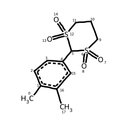 Cc1ccc(C2S(=O)(=O)CCCS2(=O)=O)cc1C